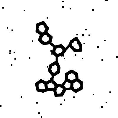 c1ccc(-c2cc(-c3ccc4ccccc4c3)nc(-c3ccc(-n4c5ccccc5c5ccc6c(c54)-c4cccc5cccc-6c45)cc3)n2)cc1